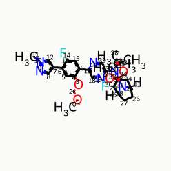 COCOc1cc(-c2cnn(C)c2)c(F)cc1-c1cnc(N(C)[C@@H]2C[C@H]3CC[C@@H]([C@@H]2F)N3C(=O)OC(C)(C)C)cn1